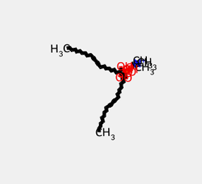 CCCCCCCCCCC#CC#CCCCCCCCCC(=O)C(OP(=O)([O-])OCC[N+](C)(C)C)(C(=O)CCCCCCCCC#CC#CCCCCCCCCCC)[C@@H](O)CO